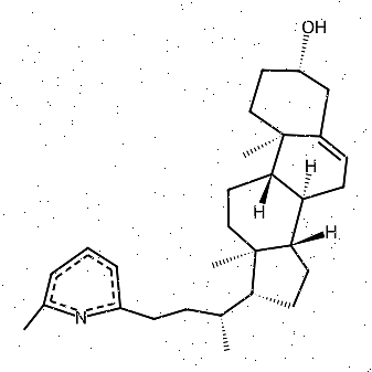 Cc1cccc(CC[C@@H](C)[C@H]2CC[C@H]3[C@@H]4CC=C5C[C@@H](O)CC[C@]5(C)[C@H]4CC[C@]23C)n1